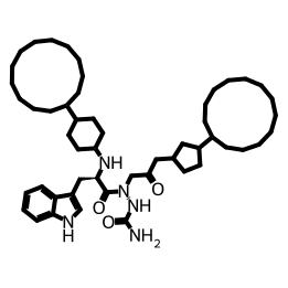 NC(=O)NN(CC(=O)CC1CCC(C2CCCCCCCCCCCC2)C1)C(=O)[C@@H](Cc1c[nH]c2ccccc12)NC1CCC(C2CCCCCCCCCCCC2)CC1